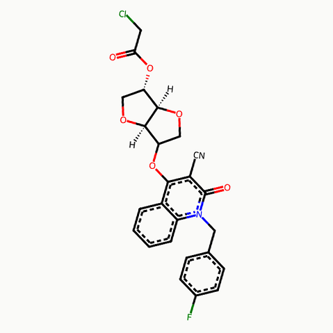 N#Cc1c(OC2CO[C@@H]3[C@@H](OC(=O)CCl)CO[C@H]23)c2ccccc2n(Cc2ccc(F)cc2)c1=O